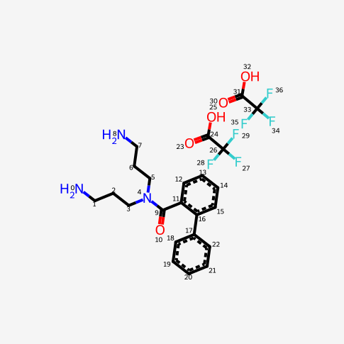 NCCCN(CCCN)C(=O)c1ccccc1-c1ccccc1.O=C(O)C(F)(F)F.O=C(O)C(F)(F)F